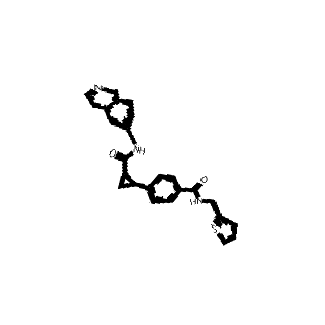 O=C(NCc1cccs1)c1ccc(C2CC2C(=O)Nc2ccc3cnccc3c2)cc1